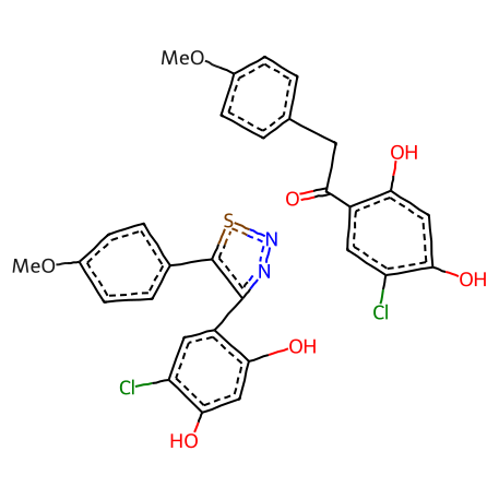 COc1ccc(-c2snnc2-c2cc(Cl)c(O)cc2O)cc1.COc1ccc(CC(=O)c2cc(Cl)c(O)cc2O)cc1